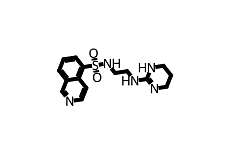 O=S(=O)(NCCNC1=NCCCN1)c1cccc2cnccc12